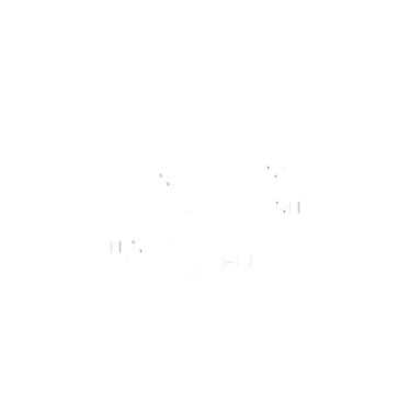 Cl.NC(=O)c1nccc2n[nH]cc12